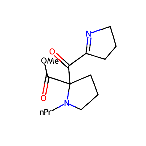 CCCN1CCCC1(C(=O)OC)C(=O)C1=NCCC1